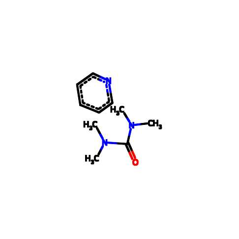 CN(C)C(=O)N(C)C.c1ccncc1